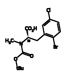 CN(C(=O)OC(C)(C)C)[C@@H](Cc1cc(Cl)ccc1Br)C(=O)O